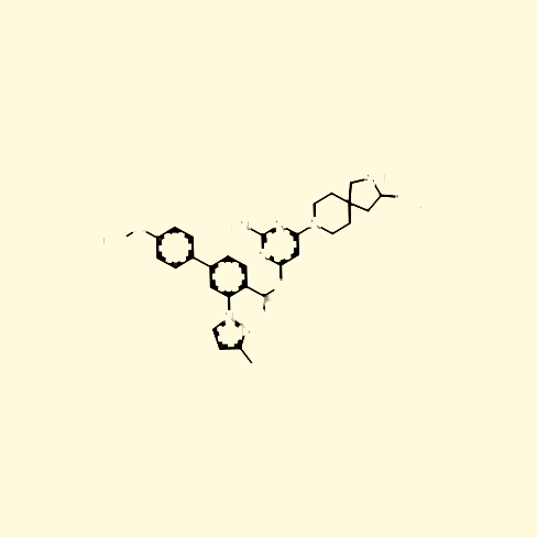 CCCOc1ccc(-c2ccc([C@@H](Oc3cc(N4CCC5(CC4)CNC(C(=O)O)C5)nc(N)n3)C(F)(F)F)c(-n3ccc(C)n3)c2)cc1